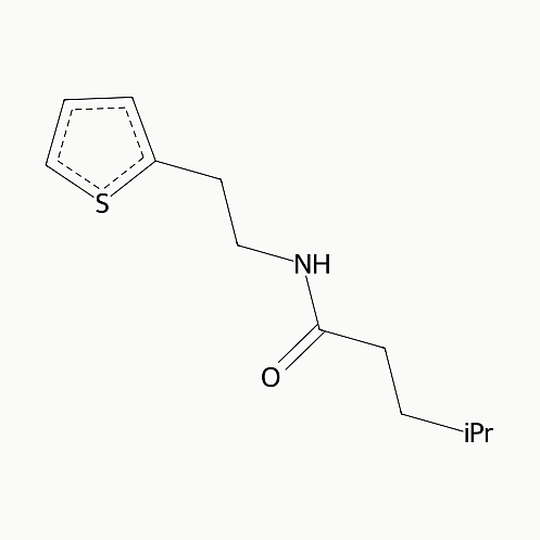 CC(C)CCC(=O)NCCc1cccs1